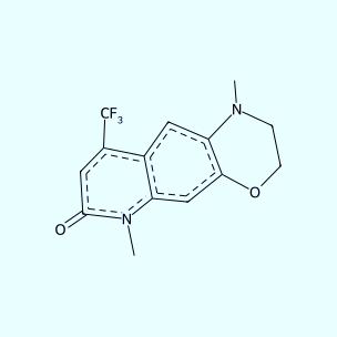 CN1CCOc2cc3c(cc21)c(C(F)(F)F)cc(=O)n3C